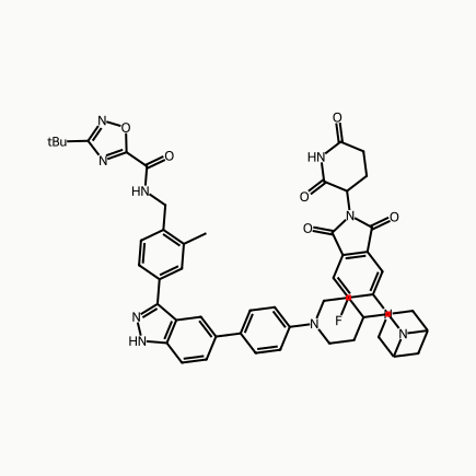 Cc1cc(-c2n[nH]c3ccc(-c4ccc(N5CCC(CN6C7CC6CN(c6cc8c(cc6F)C(=O)N(C6CCC(=O)NC6=O)C8=O)C7)CC5)cc4)cc23)ccc1CNC(=O)c1nc(C(C)(C)C)no1